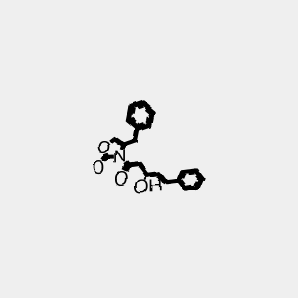 O=C(C[C@@H](O)/C=C/c1ccccc1)N1C(=O)OCC1Cc1ccccc1